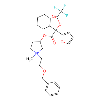 C[N+]1(CCOCc2ccccc2)CCC(OC(=O)C(OC(=O)C(F)(F)F)(c2ccco2)C2CCCCC2)C1